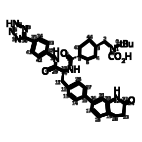 CC(C)(C)N(C[C@H]1CC[C@H](C(=O)N[C@@H](Cc2ccc(-c3ccc4c(c3)NC(=O)CC4)cc2)C(=O)Nc2ccc(-c3nn[nH]n3)cc2)CC1)C(=O)O